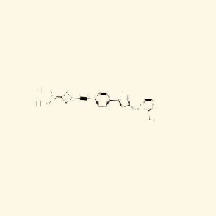 CC(O)c1nccn1Cc1cc(-c2ccc(C#CC3CC(N(C)C)C3)cc2)on1